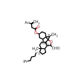 C=C(CC(=O)OC1CCC2(C(C)C1)[C@@H](C)C21OC(C=O)C2C3CC[C@H](CCCCC(C)C)C3(C)CCC21)C(C)=O